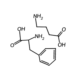 NC(Cc1ccccc1)C(=O)O.NCCCC(=O)O